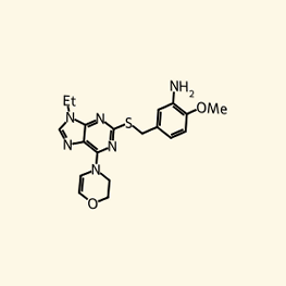 CCn1cnc2c(N3C=COCC3)nc(SCc3ccc(OC)c(N)c3)nc21